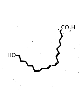 O=C(O)CCCCC/C=C/C=C\C=C\C/C=C\CCCCCO